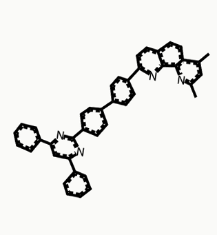 Cc1cc(C)c2ccc3ccc(-c4ccc(-c5ccc(-c6nc(-c7ccccc7)cc(-c7ccccc7)n6)cc5)cc4)nc3c2n1